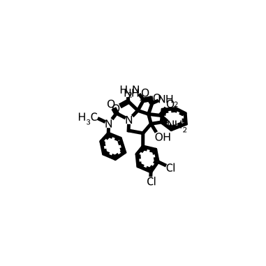 CN(C(=O)N1CC(c2ccc(Cl)c(Cl)c2)C(O)(c2ccccc2)C(C(N)=O)(C(N)=O)C1(C(N)=O)C(N)=O)c1ccccc1